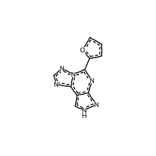 c1coc(-c2nc3n[nH]cc3c3ncnn23)c1